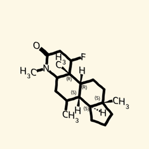 CC1CC2N(C)C(=O)CC(F)[C@]2(C)[C@@H]2CC[C@]3(C)CCC[C@H]3[C@H]12